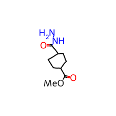 COC(=O)C1CCC(C(=O)NN)CC1